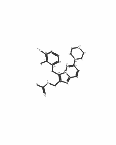 CC(=O)OCc1nc2ccc(N3CCOCC3)nn2c1Cc1cccc(F)c1C